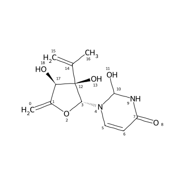 C=C1O[C@@H](N2C=CC(=O)NC2O)[C@@](O)(C(=C)C)[C@@H]1O